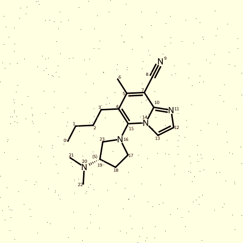 CCCCc1c(C)c(C#N)c2nccn2c1N1CC[C@H](N(C)C)C1